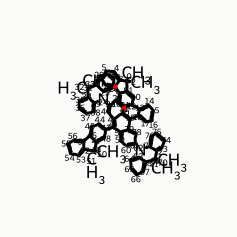 CC1(C)c2ccccc2-c2ccc(-c3ccccc3-c3c4ccc(N5c6ccccc6C(C)(C)c6ccccc65)cc4c(-c4ccc5c(c4)C(C)(C)c4ccccc4-5)c4ccc(N5c6ccccc6C(C)(C)c6ccccc65)cc34)cc21